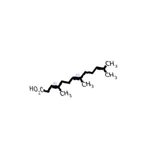 CC(C)=CCC/C(C)=C/CC/C(C)=C/CC(=O)O